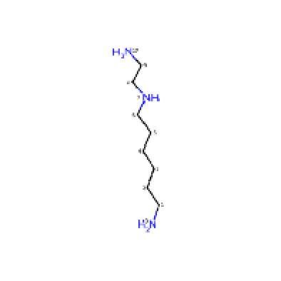 NCCC[CH]CCNCCN